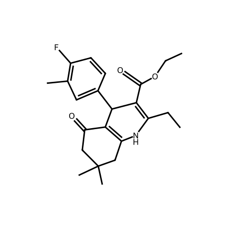 CCOC(=O)C1=C(CC)NC2=C(C(=O)CC(C)(C)C2)C1c1ccc(F)c(C)c1